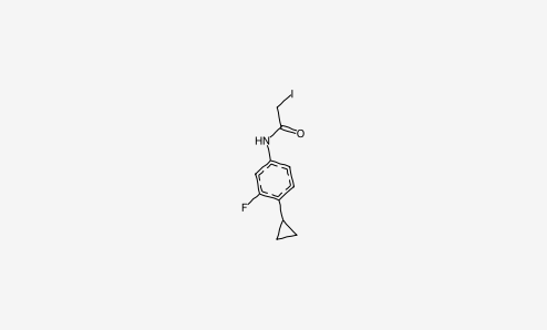 O=C(CI)Nc1ccc(C2CC2)c(F)c1